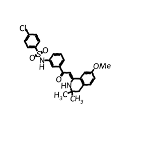 COc1ccc2c(c1)C(=CC(=O)c1cccc(NS(=O)(=O)c3ccc(Cl)cc3)c1)NC(C)(C)C2